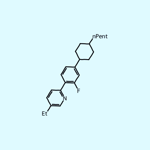 CCCCCC1CCC(c2ccc(-c3ccc(CC)cn3)c(F)c2)CC1